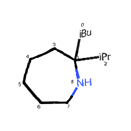 CCC(C)C1(C(C)C)CCCCCN1